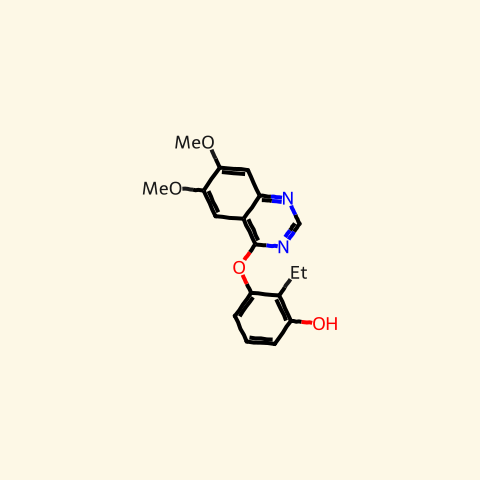 CCc1c(O)cccc1Oc1ncnc2cc(OC)c(OC)cc12